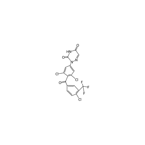 O=C(c1ccc(Cl)c(C(F)(F)F)c1)c1c(Cl)cc(-n2ncc(=O)[nH]c2=O)cc1Cl